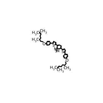 CC(C)=CCC[C@@H](C)CCOc1ccc(-c2ccc(-c3ccc(-c4ccc(-c5ccc(OCC[C@H](C)CCC=C(C)C)cc5)s4)c4nsnc34)s2)cc1